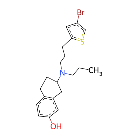 CCCN(CCCc1cc(Br)cs1)C1CCc2ccc(O)cc2C1